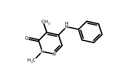 Cc1c(Nc2ccccc2)cnn(C)c1=O